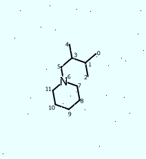 CC(C)C(C)CN1CCCCC1